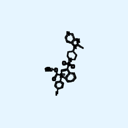 Cc1nc2cnccc2n1C1CCN(S(=O)(=O)C2=C[N+](C(=O)OC(C)(C)C)(c3ccc(F)cc3)c3ccccc32)CC1